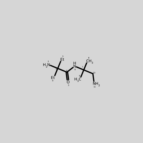 CCC(N)(CC)C(=O)NC(C)(C)CN